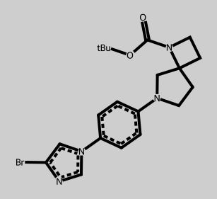 CC(C)(C)OC(=O)N1CCC12CCN(c1ccc(-n3cnc(Br)c3)cc1)C2